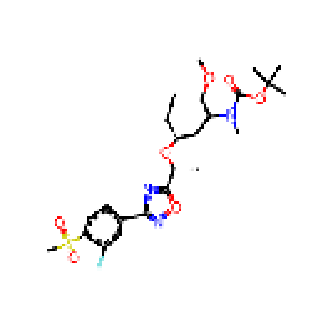 CC[C@@H](CC(COC)N(C)C(=O)OC(C)(C)C)O[C@H](C)c1nc(-c2ccc(S(C)(=O)=O)c(F)c2)no1